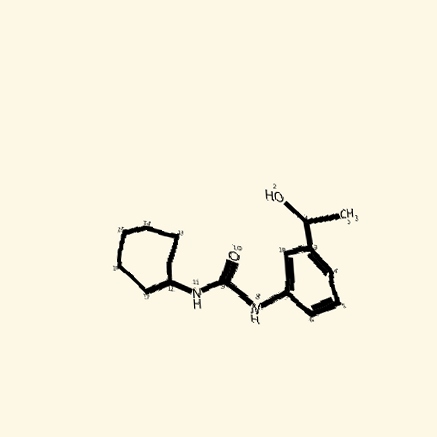 CC(O)c1cccc(NC(=O)NC2CCCCC2)c1